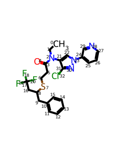 CCN(C(=O)CCSC(Cc1ccccc1)CC(F)(F)F)c1cn(-c2cccnc2)nc1Cl